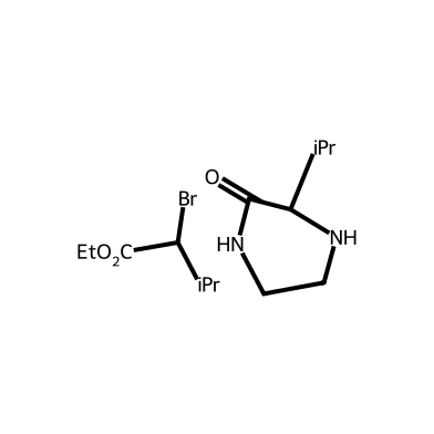 CC(C)C1NCCNC1=O.CCOC(=O)C(Br)C(C)C